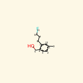 Cc1ccc(CO)c(CCCF)c1